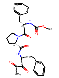 COC(=O)C(=O)C(Cc1ccccc1)NC(=O)[C@@H]1CCCN1C(=O)[C@H](Cc1ccccc1)NC(=O)OC(C)(C)C